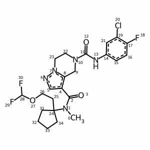 CN(C(=O)c1cnn2c1CN(C(=O)Nc1ccc(F)c(Cl)c1)CC2)C1(CCOC(F)F)CCCC1